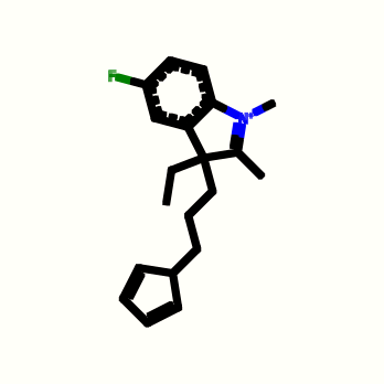 CCC1(CCCC2C=CC=C2)C(C)=[N+](C)c2ccc(F)cc21